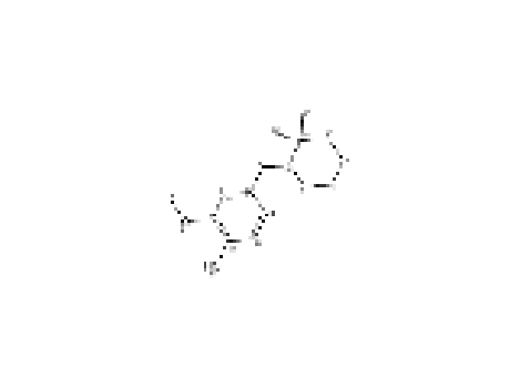 COc1cc([CH][C@@H]2CCCCC2(C)C)ccc1O